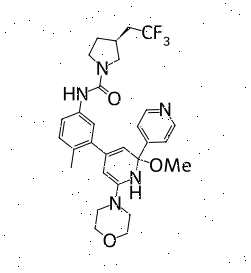 COC1(c2ccncc2)C=C(c2cc(NC(=O)N3CC[C@@H](CC(F)(F)F)C3)ccc2C)C=C(N2CCOCC2)N1